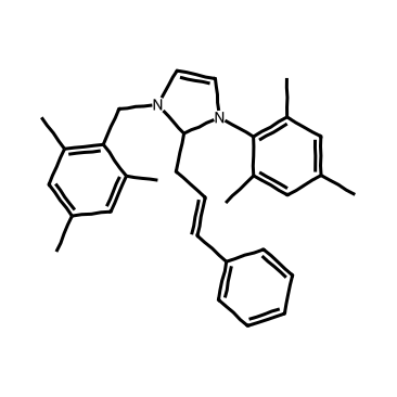 Cc1cc(C)c(CN2C=CN(c3c(C)cc(C)cc3C)C2CC=Cc2ccccc2)c(C)c1